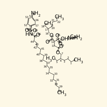 CCCCC(CC)COC(=O)CC(C(=O)OCC(CC)CCCC)S(=O)(=O)O.CCCCCCCCCCCCCCCCCC(=O)NS(=O)(=O)c1ccc(N)cc1.[CaH2].[NaH]